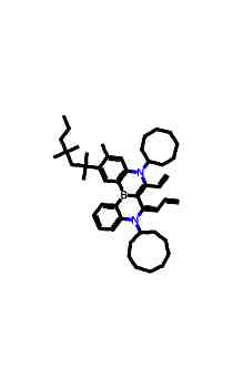 C=C/C=C1\C2=C(C=C)N(C3CCCCCCC3)c3cc(C)c(C(C)(C)CC(C)(C)CCC)cc3B2c2ccccc2N1C1CCCCCCCC1